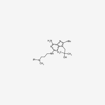 CCCCc1nc2c(N)nc(NCCCN(C)C(C)C)cc2n1CC(C)(C)O